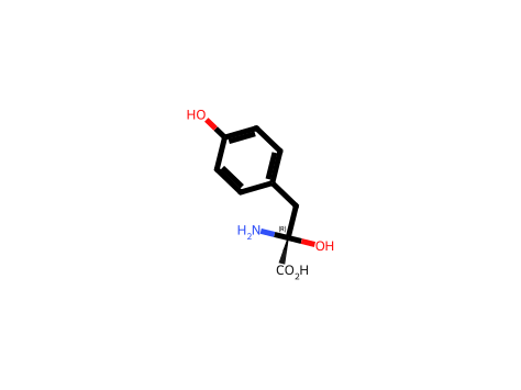 N[C@@](O)(Cc1ccc(O)cc1)C(=O)O